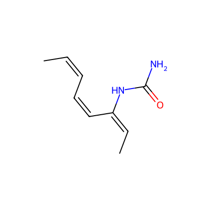 C\C=C/C=C\C(=C/C)NC(N)=O